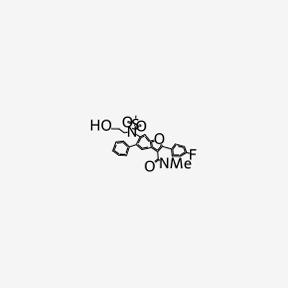 CNC(=O)c1c(-c2ccc(F)cc2)oc2cc(N(CCCO)S(C)(=O)=O)c(-c3ccccc3)cc12